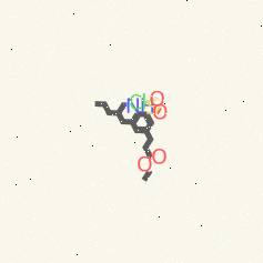 CCCC1CNc2c(cc(CCC(=O)OCC)cc2S(=O)(=O)Cl)C1